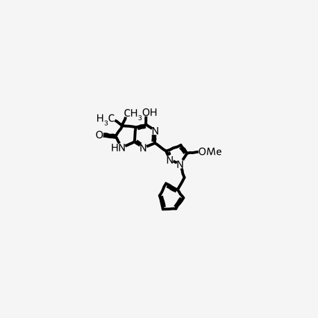 COc1cc(-c2nc(O)c3c(n2)NC(=O)C3(C)C)nn1Cc1ccccc1